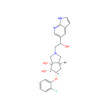 OC(CN1C[C@H]2C[C@H](Oc3ccccc3F)[C@H](O)[C@@]2(O)C1)c1cnc2[nH]ccc2c1